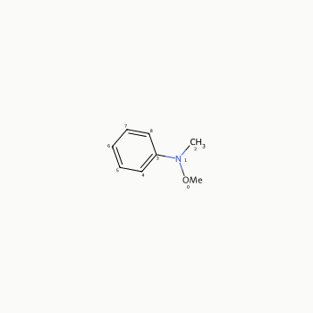 CON(C)c1cc[c]cc1